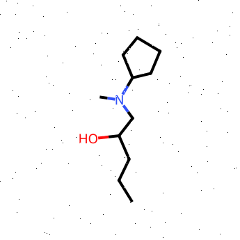 CCCC(O)CN(C)C1CCCC1